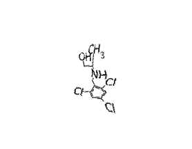 CCC(CO)NCc1c(Cl)cc(Cl)cc1Cl